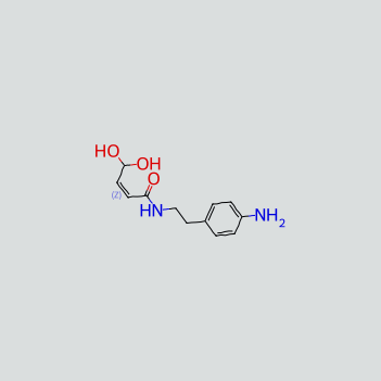 Nc1ccc(CCNC(=O)/C=C\C(O)O)cc1